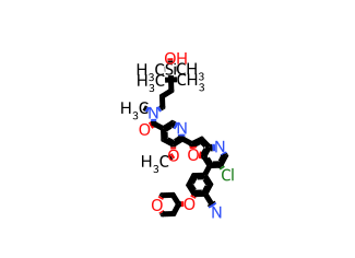 COc1cc(C(=O)N(C)CCCC(C)(C)[Si](C)(C)O)cnc1-c1cc2ncc(Cl)c(-c3ccc(OC4CCOCC4)c(C#N)c3)c2o1